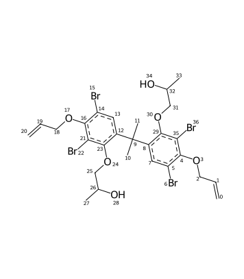 C=CCOc1c(Br)cc(C(C)(C)c2cc(Br)c(OCC=C)c(Br)c2OCC(C)O)c(OCC(C)O)c1Br